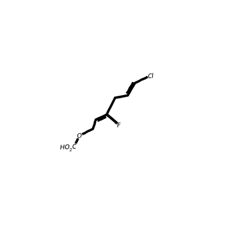 O=C(O)OCC=C(F)CC=CCl